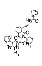 Cc1ncc2cccnc2c1C(=O)N[C@H](C)c1cc2cccc(C#CCNC(=O)[C@H]3CCCO3)c2c(=O)n1-c1ccccc1